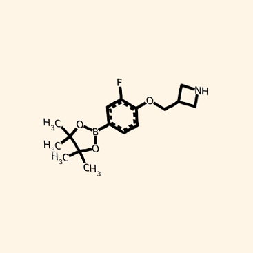 CC1(C)OB(c2ccc(OCC3CNC3)c(F)c2)OC1(C)C